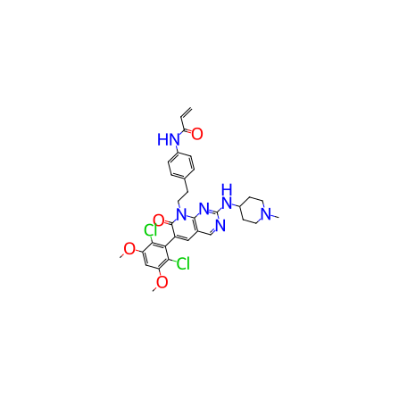 C=CC(=O)Nc1ccc(CCn2c(=O)c(-c3c(Cl)c(OC)cc(OC)c3Cl)cc3cnc(NC4CCN(C)CC4)nc32)cc1